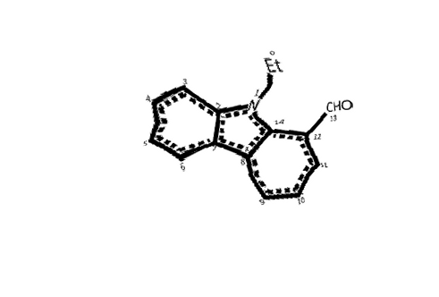 CCn1c2ccccc2c2c[c]cc(C=O)c21